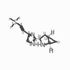 CS(C)(C)C#Cc1c[nH]c([C@@H]2C[C@H]3C[C@H]3N2)n1